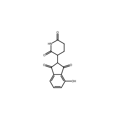 O=C1CCC(C2C(=O)c3cccc(O)c3C2=O)C(=O)N1